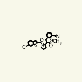 COC(=O)C(Cc1cccc(C#N)c1)C1CCCN1C(=O)c1cc2ccc(Cl)cc2s1